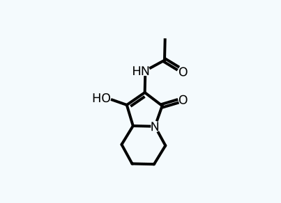 CC(=O)NC1=C(O)C2CCCCN2C1=O